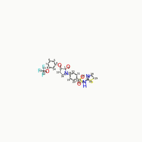 O=C1C(Oc2cccc(OC(F)(F)F)c2)CCN1c1ccc(S(=O)(=O)Nc2nccs2)cc1